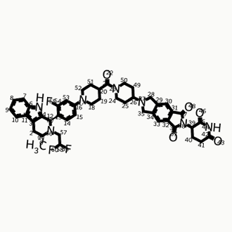 C[C@@H]1Cc2c([nH]c3ccccc23)[C@@H](c2ccc(N3CCC(C(=O)N4CCC(N5Cc6cc7c(cc6C5)C(=O)N(C5CCC(=O)NC5=O)C7=O)CC4)CC3)cc2F)N1CC(F)F